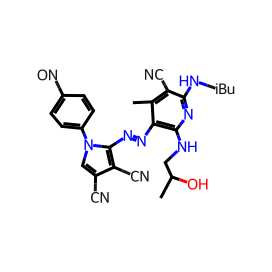 CCC(C)Nc1nc(NCC(C)O)c(N=Nc2c(C#N)c(C#N)cn2-c2ccc(N=O)cc2)c(C)c1C#N